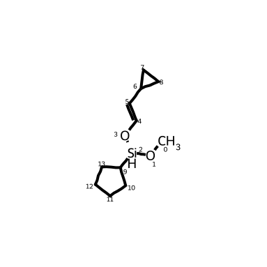 CO[SiH](OC=CC1CC1)C1CCCC1